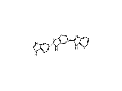 c1cnc2[nH]c(-[n+]3ccc4nc(-[n+]5ccc6[nH]cnc6c5)[nH]c4c3)nc2c1